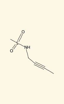 CC#CCNS(C)(=O)=O